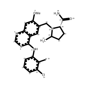 COc1cc2ncnc(Nc3cccc(Cl)c3F)c2cc1CN1C(C)CC[C@H]1C(N)=O